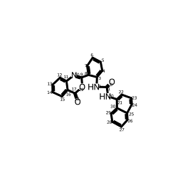 O=C(Nc1ccccc1-c1nc2ccccc2c(=O)o1)Nc1cccc2ccccc12